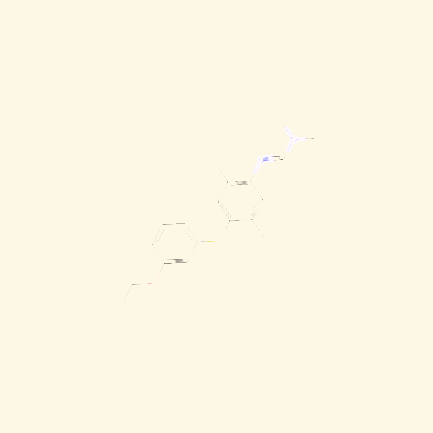 CCN(C)C=Nc1cc(C)c(Sc2cccc(OCC(F)(F)F)c2)cc1C